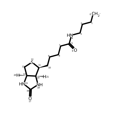 [CH2]CCCNC(=O)CCCC[C@@H]1SC[C@@H]2NC(=O)N[C@@H]21